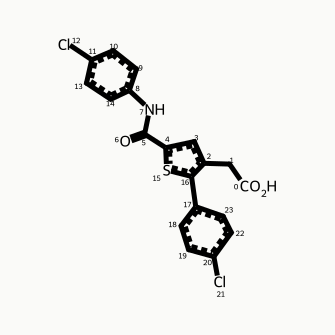 O=C(O)Cc1cc(C(=O)Nc2ccc(Cl)cc2)sc1-c1ccc(Cl)cc1